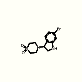 O=S1(=O)CCN(C2CNc3cc(Br)ccc32)CC1